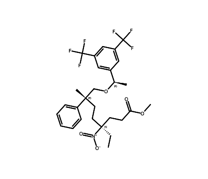 CC[C@@](CCC(=O)OC)(CC[C@@](C)(CO[C@H](C)c1cc(C(F)(F)F)cc(C(F)(F)F)c1)c1ccccc1)[N+](=O)[O-]